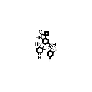 CC1(C)CNCCC1Nc1cc(NS(=O)(=O)c2ccc(F)cc2F)cc2c1NC(=O)C21CCC1